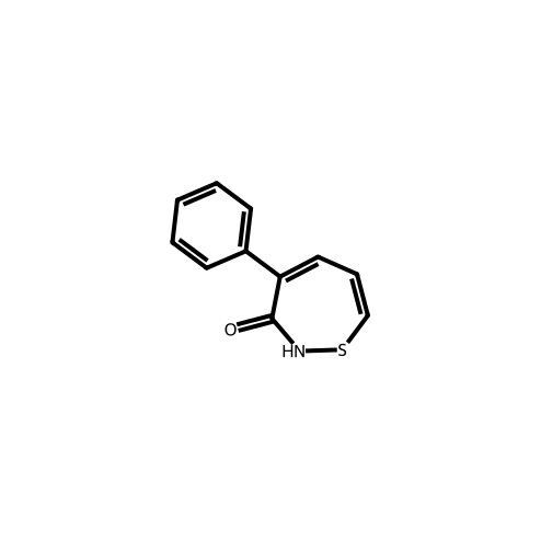 O=C1NSC=CC=C1c1ccccc1